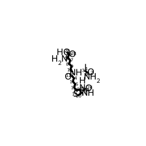 NC(=O)CI.NC(CCCCNC(=O)CCCCC1SCC2NC(=O)NC21)C(=O)O